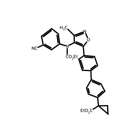 CCOC(=O)N(c1cccc(C#N)c1)c1c(C)noc1-c1ccc(-c2ccc(C3(C(=O)OCC)CC3)cc2)cc1